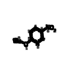 CC(C)(C)Oc1ccc([N+](=O)[O-])[c]n1